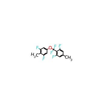 Cc1cc(F)c(C(F)(F)Oc2cc(F)c(C)c(F)c2)c(F)c1